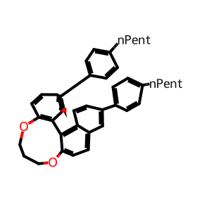 CCCCCc1ccc(-c2ccc3c4c(ccc3c2)OCCCOc2ccc3cc(-c5ccc(CCCCC)cc5)ccc3c2-4)cc1